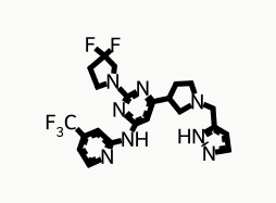 FC1(F)CCN(c2nc(Nc3cc(C(F)(F)F)ccn3)cc(C3CCN(Cc4ccn[nH]4)C3)n2)C1